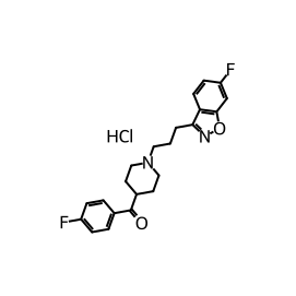 Cl.O=C(c1ccc(F)cc1)C1CCN(CCCc2noc3cc(F)ccc23)CC1